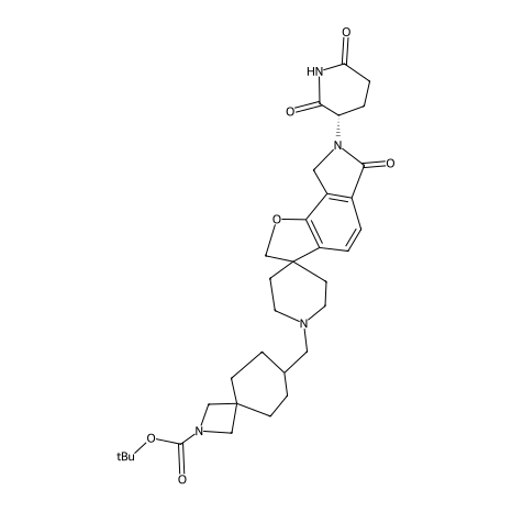 CC(C)(C)OC(=O)N1CC2(CCC(CN3CCC4(CC3)COc3c4ccc4c3CN([C@H]3CCC(=O)NC3=O)C4=O)CC2)C1